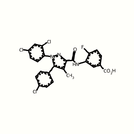 Cc1c(C(=O)Nc2cc(C(=O)O)ccc2F)nn(-c2ccc(Cl)cc2Cl)c1-c1ccc(Cl)cc1